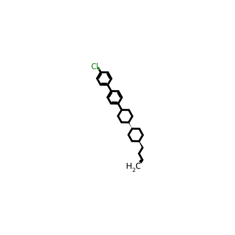 C=CCC[C@H]1CC[C@H](C2CCC(c3ccc(-c4ccc(Cl)cc4)cc3)CC2)CC1